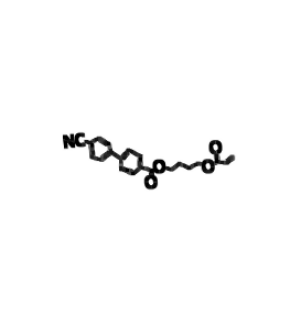 C=CC(=O)OCCCCOC(=O)c1ccc(-c2ccc(C#N)cc2)cc1